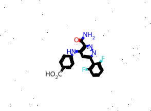 NC(=O)c1nnc(-c2c(F)cccc2F)cc1Nc1ccc(C(=O)O)cc1